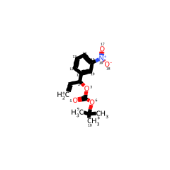 C=CC(OC(=O)OC(C)(C)C)c1cccc([N+](=O)[O-])c1